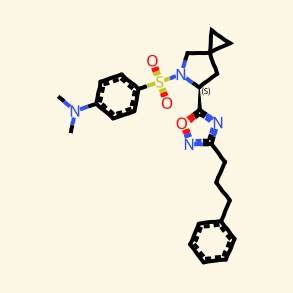 CN(C)c1ccc(S(=O)(=O)N2CC3(CC3)C[C@H]2c2nc(CCCc3ccccc3)no2)cc1